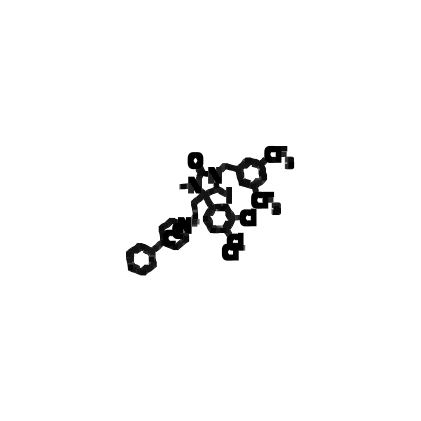 CN1C(=O)N(Cc2cc(C(F)(F)F)cc(C(F)(F)F)c2)C(I)C1(CC[N+]12CCC(c3ccccc3)(CC1)CC2)c1ccc(Cl)c(Cl)c1.[Cl-]